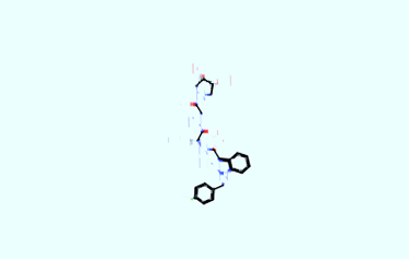 CC(C)(C)[C@H](NC(=O)c1nn(Cc2ccc(F)cc2)c2ccccc12)C(=O)NCC(=O)N1C[C@@H](O)[C@H](O)C1